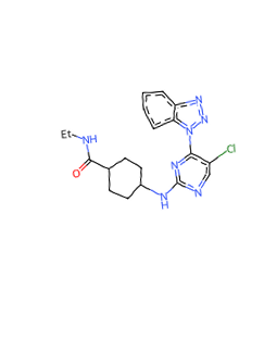 CCNC(=O)C1CCC(Nc2ncc(Cl)c(-n3nnc4ccccc43)n2)CC1